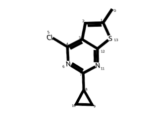 Cc1cc2c(Cl)nc(C3CC3)nc2s1